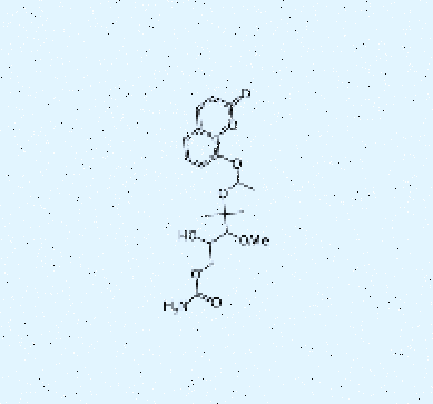 COC(C(O)COC(N)=O)C(C)(C)OC(C)Oc1cccc2ccc(=O)oc12